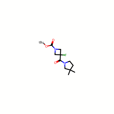 CC1(C)CCN(C(=O)C2(F)CN(C(=O)OC(C)(C)C)C2)C1